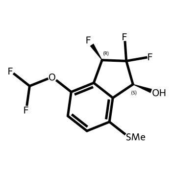 CSc1ccc(OC(F)F)c2c1[C@H](O)C(F)(F)[C@@H]2F